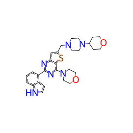 c1cc(-c2nc(N3CCOCC3)c3sc(CN4CCN(C5CCOCC5)CC4)cc3n2)c2cc[nH]c2c1